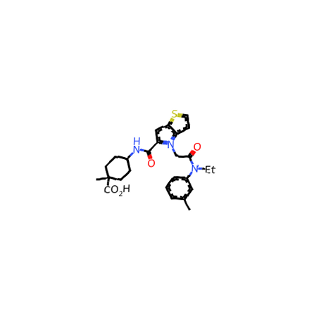 CCN(C(=O)Cn1c(C(=O)NC2CCC(C)(C(=O)O)CC2)cc2sccc21)c1cccc(C)c1